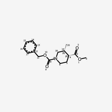 COC(=O)[C@@H]1CCN(C(=O)OCc2ccccc2)C[C@@H]1C